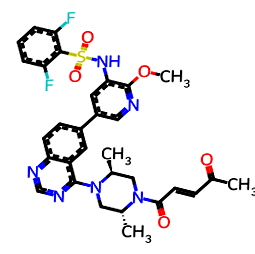 COc1ncc(-c2ccc3ncnc(N4C[C@@H](C)N(C(=O)/C=C/C(C)=O)C[C@@H]4C)c3c2)cc1NS(=O)(=O)c1c(F)cccc1F